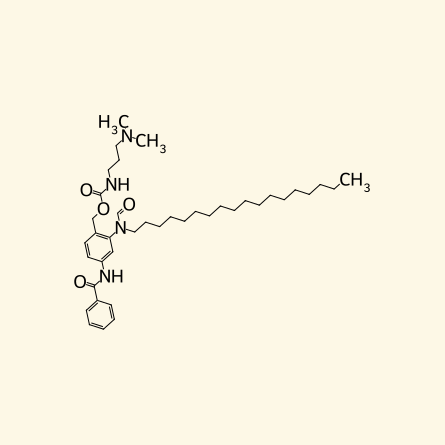 CCCCCCCCCCCCCCCCCCN(C=O)c1cc(NC(=O)c2ccccc2)ccc1COC(=O)NCCCN(C)C